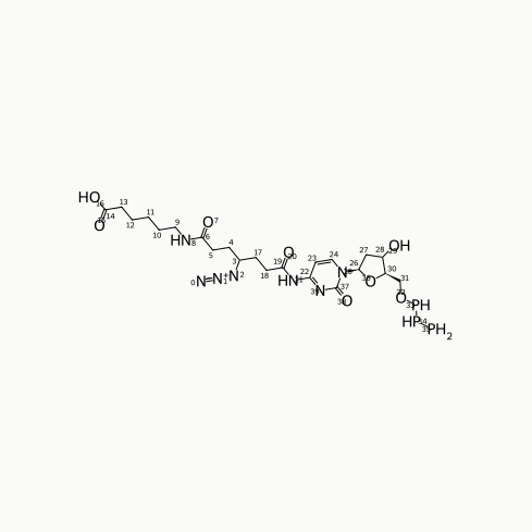 [N-]=[N+]=NC(CCC(=O)NCCCCCC(=O)O)CCC(=O)Nc1ccn([C@H]2CC(O)[C@@H](COPPP)O2)c(=O)n1